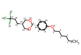 CCCCCCOc1ccc([C@H]2OC[C@H](CCC(F)(F)F)CO2)cc1